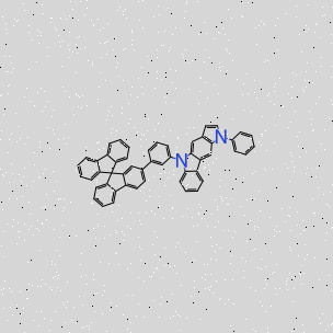 c1ccc(-n2ccc3cc4c(cc32)c2ccccc2n4-c2cccc(-c3ccc4c(c3)C3(c5ccccc5-c5ccccc53)c3ccccc3-4)c2)cc1